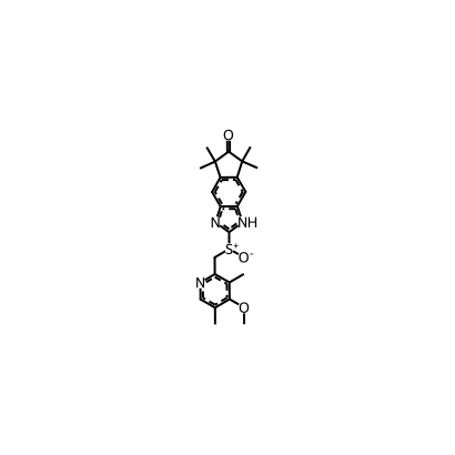 COc1c(C)cnc(C[S+]([O-])c2nc3cc4c(cc3[nH]2)C(C)(C)C(=O)C4(C)C)c1C